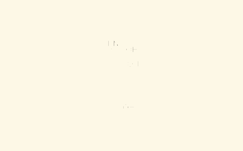 NC(O)CC(O)CCCCCO